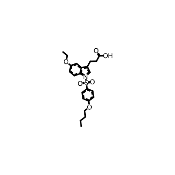 CCCCOc1ccc(S(=O)(=O)n2cc(CCC(=O)O)c3cc(OCC)ccc32)cc1